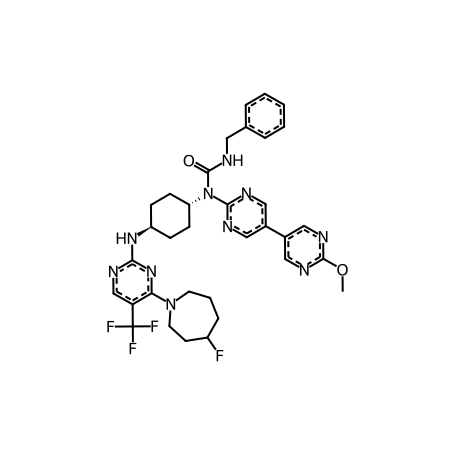 COc1ncc(-c2cnc(N(C(=O)NCc3ccccc3)[C@H]3CC[C@H](Nc4ncc(C(F)(F)F)c(N5CCCC(F)CC5)n4)CC3)nc2)cn1